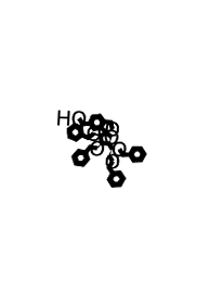 OCc1ccc2c(c1)[C@]1(OC2)O[C@H]([C@@H](COCc2ccccc2)OCc2ccccc2)[C@H](OCc2ccccc2)[C@H]1OCc1ccccc1